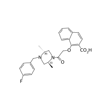 C[C@@H]1CN(C(=O)COc2c(C(=O)O)ccc3ccccc23)[C@@H](C)CN1Cc1ccc(F)cc1